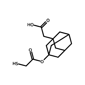 O=C(O)CC12CC3CC(C1)CC(OC(=O)CS)(C3)C2